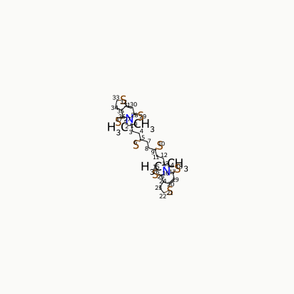 CC(C)(CCC(=S)CCC(=S)CCC(C)(C)N1C(=S)C=C2SCCC2C1=S)N1C(=S)C=C2SCCC2C1=S